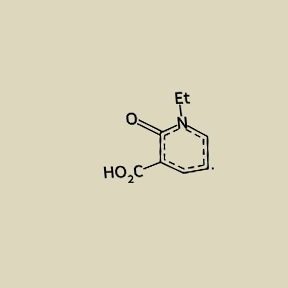 CCn1c[c]cc(C(=O)O)c1=O